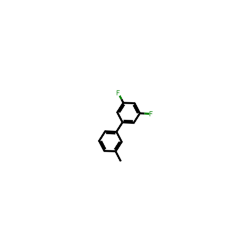 Cc1cccc(-c2cc(F)cc(F)c2)c1